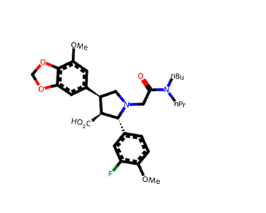 CCCCN(CCC)C(=O)CN1C[C@H](c2cc(OC)c3c(c2)OCO3)[C@H](C(=O)O)[C@H]1c1ccc(OC)c(F)c1